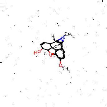 COc1ccc2c3c1O[C@H]1[C@@H](O)C=CC4[C@@H]5N(C)C25C[C@@]341